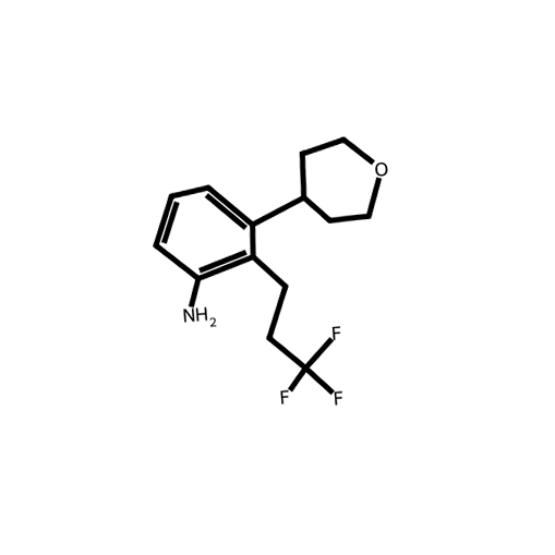 Nc1cccc(C2CCOCC2)c1CCC(F)(F)F